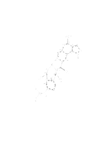 Cn1ncc2c(N)nc3cnc(C(=O)N4CC[C@@H]5C[C@H]4c4ccc(OC(F)F)cc45)cc3c21